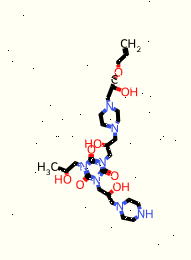 C=CCOCC(O)CN1CCN(CC(O)Cn2c(=O)n(CC(C)O)c(=O)n(CC(O)CN3CCNCC3)c2=O)CC1